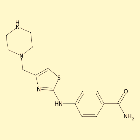 NC(=O)c1ccc(Nc2nc(CN3CCNCC3)cs2)cc1